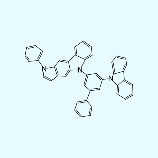 c1ccc(-c2cc(-n3c4ccccc4c4ccccc43)cc(-n3c4ccccc4c4cc5c(ccn5-c5ccccc5)cc43)c2)cc1